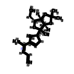 CC1(C)O[C@H]2[C@@H](O1)[C@](C#N)(C1CC=C(/C(N)=N\C=N)N1)O[C@@H]2CO